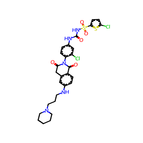 O=C(Nc1ccc(N2C(=O)Cc3cc(NCCCN4CCCCC4)ccc3C2=O)c(Cl)c1)NS(=O)(=O)c1ccc(Cl)s1